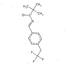 CC(C)(C)[S+]([O-])N=Cc1ccc(CC(F)(F)F)cc1